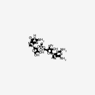 CCCC1C(COP(=O)(O)OC2C(O)C(O)OC2n2cnc3c(=O)[nH]c(N)nc32)OC(n2cnc3c(N)nc(N)nc32)C1O